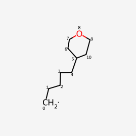 [CH2]CCCCC1CCOCC1